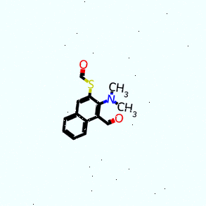 CN(C)c1c(SC=O)cc2ccccc2c1C=O